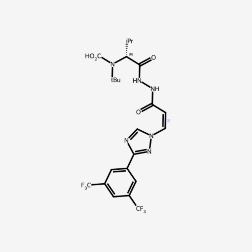 CC(C)[C@H](C(=O)NNC(=O)/C=C\n1cnc(-c2cc(C(F)(F)F)cc(C(F)(F)F)c2)n1)N(C(=O)O)C(C)(C)C